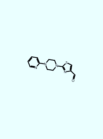 O=Cc1csc(N2CCN(c3ccccn3)CC2)n1